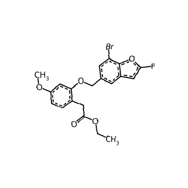 CCOC(=O)Cc1ccc(OC)cc1OCc1cc(Br)c2oc(F)cc2c1